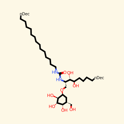 CCCCCCCCCCCCCCCCCCCCCCCCNC(=O)N[C@@H](CO[C@H]1C[C@H](CO)[C@H](O)[C@H](O)[C@H]1O)[C@H](O)[C@H](O)CCCCCCCCCCCCCC